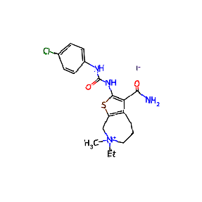 CC[N+]1(C)CCCc2c(sc(NC(=O)Nc3ccc(Cl)cc3)c2C(N)=O)C1.[I-]